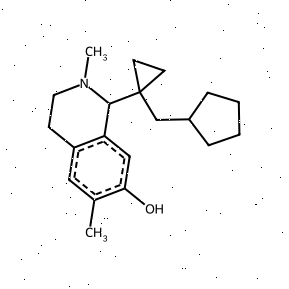 Cc1cc2c(cc1O)C(C1(CC3CCCC3)CC1)N(C)CC2